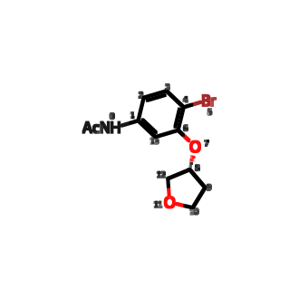 CC(=O)Nc1ccc(Br)c(O[C@@H]2CCOC2)c1